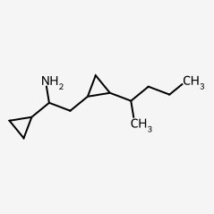 CCCC(C)C1CC1CC(N)C1CC1